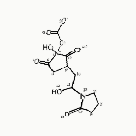 O=C([O-])O[N+]1(O)C(=O)CC(CC(O)N2CCCC2=O)C1=O